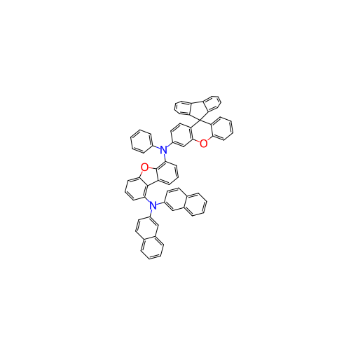 c1ccc(N(c2ccc3c(c2)Oc2ccccc2C32c3ccccc3-c3ccccc32)c2cccc3c2oc2cccc(N(c4ccc5ccccc5c4)c4ccc5ccccc5c4)c23)cc1